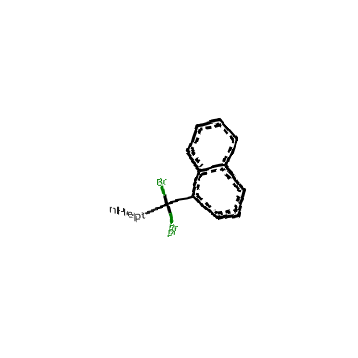 CCCCCCCC(Br)(Br)c1cccc2ccccc12